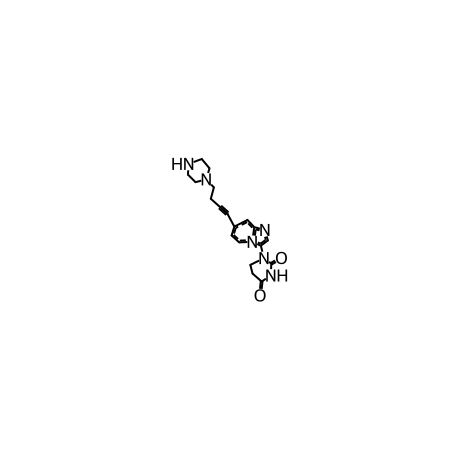 O=C1CCN(c2cnc3cc(C#CCCN4CCNCC4)ccn23)C(=O)N1